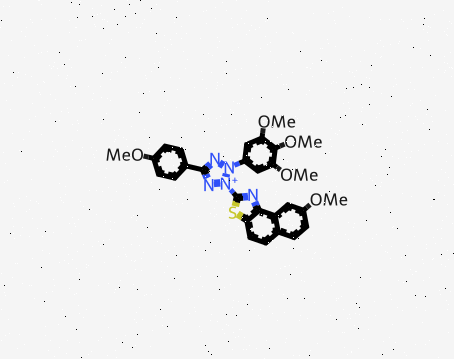 COc1ccc(-c2nn(-c3cc(OC)c(OC)c(OC)c3)[n+](-c3nc4c(ccc5ccc(OC)cc54)s3)n2)cc1